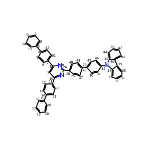 c1ccc(-c2ccc(-c3cc(-c4ccc(-c5ccccc5)cc4)nc(-c4ccc(-c5ccc(-n6c7ccccc7c7ccccc76)cc5)cc4)n3)cc2)cc1